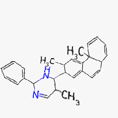 CC1C=C2C(=CC1C1NC(c3ccccc3)N=CC1C)C=CC1C=CC=CC21C